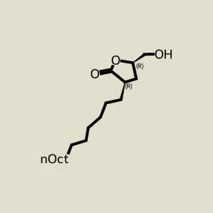 CCCCCCCCCCCCCC[C@@H]1C[C@H](CO)OC1=O